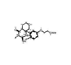 COCCOc1ccc(F)c(C23COCCC2C(=O)N(C)C(=N)N3)c1